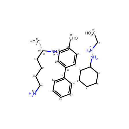 NC1CCCCC1.NCC(=O)O.NCCCC[C@@H](N)C(=O)O.O=Cc1ccc(-c2ccccc2)cc1